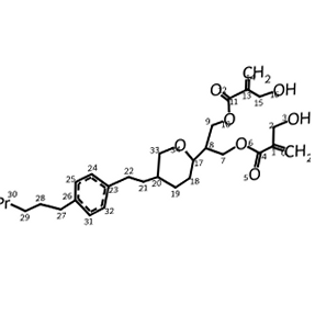 C=C(CO)C(=O)OCC(COC(=O)C(=C)CO)C1CCC(CCc2ccc(CCCC(C)C)cc2)CO1